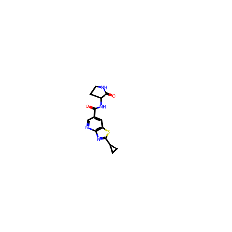 O=C(NC1CCNC1=O)c1cnc2nc(C3CC3)sc2c1